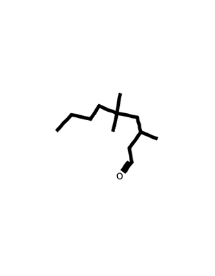 CCCCC(C)(C)CC(C)CC=O